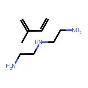 C=CC(=C)C.NCCNCCN